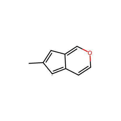 Cc1[c]c2ccocc-2c1